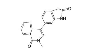 Cn1cc(-c2ccc3c(c2)NC(=O)C3)c2ccccc2c1=O